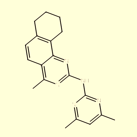 Cc1cc(C)nc(Nc2nc(C)c3ccc4c(c3n2)CCCC4)n1